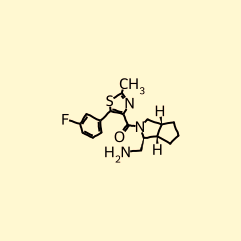 Cc1nc(C(=O)N2C[C@@H]3CCC[C@@H]3[C@H]2CN)c(-c2cccc(F)c2)s1